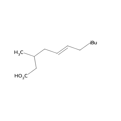 CCC(C)CC=CCC(C)CC(=O)O